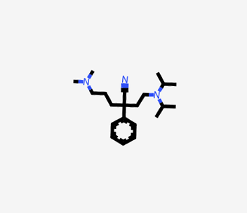 CC(C)N(CCC(C#N)(CCCN(C)C)c1ccccc1)C(C)C